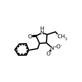 CCC1NC(=O)C(Cc2ccccc2)C1[N+](=O)[O-]